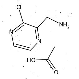 CC(=O)O.NCc1nccnc1Cl